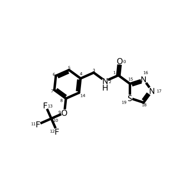 O=C(NCc1cccc(OC(F)(F)F)c1)c1nncs1